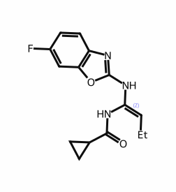 CC/C=C(\NC(=O)C1CC1)Nc1nc2ccc(F)cc2o1